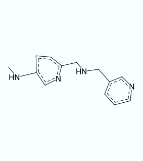 CNc1ccc(CNCc2cccnc2)nc1